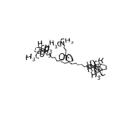 CN(C)CCCC(=O)OC(CCCCCCCC(=O)O[C@H]1C[C@H]2CC[C@]1(C)C2(C)C)CCCCCCCC(=O)O[C@H]1C[C@H]2CC[C@]1(C)C2(C)C